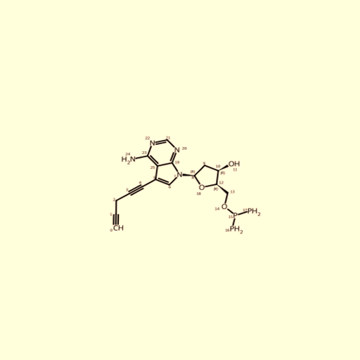 C#CCC#Cc1cn([C@H]2C[C@@H](O)[C@@H](COP(P)P)O2)c2ncnc(N)c12